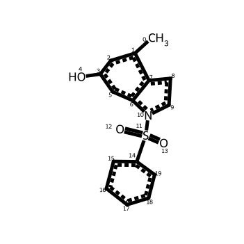 Cc1cc(O)cc2c1ccn2S(=O)(=O)c1ccccc1